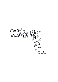 COc1ccc(/C(C#N)=C/c2ccc(N3CCC(OC(=O)CCC(=O)[O-])CC3)s2)cc1OC.[Na+]